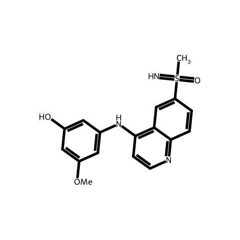 COc1cc(O)cc(Nc2ccnc3ccc(S(C)(=N)=O)cc23)c1